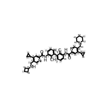 Cc1c(NC(=O)c2cc(C3CC3)c(CNC3CCC3)cn2)cccc1-c1cccc(NC(=O)c2cc(C3CC3)c(CN3CCCCC3)cn2)c1C